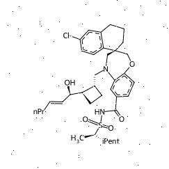 CCC/C=C/[C@@H](O)[C@@H]1CC[C@H]1CN1C[C@@]2(CCCc3cc(Cl)ccc32)COc2ccc(C(=O)NS(=O)(=O)[C@H](C)[C@@H](C)CCC)cc21